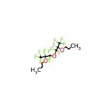 CCCOC(F)(C(F)(F)F)C(F)(F)OC(F)(F)C(F)(OCCC)C(F)(F)F